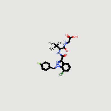 CC(C)(C)C(NC(=O)c1nn(Cc2ccc(F)cc2)c2c(Cl)cccc12)C(=O)NCC(=O)O